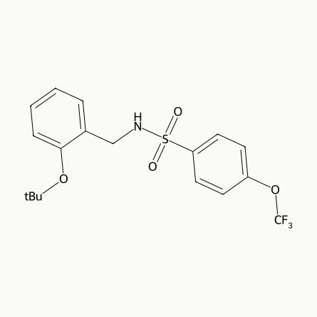 CC(C)(C)Oc1ccccc1CNS(=O)(=O)c1ccc(OC(F)(F)F)cc1